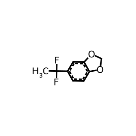 CC(F)(F)c1ccc2c(c1)OCO2